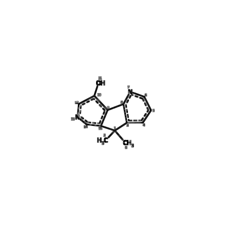 CC1(C)c2cccnc2-c2c(O)cncc21